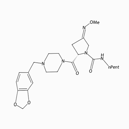 CCCCCNC(=O)N1CC(=NOC)C[C@H]1C(=O)N1CCN(Cc2ccc3c(c2)OCO3)CC1